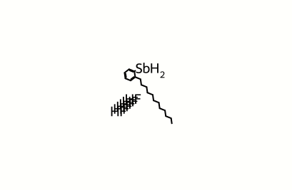 CCCCCCCCCCCCc1cccc[c]1[SbH2].F.F.F.F.F.F